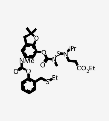 CCOC(=O)CCN(SN(C)C(=O)Oc1cccc2c1OC(C)(C)C2)C(C)C.CCSCc1ccccc1OC(=O)NC